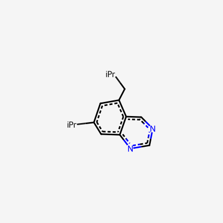 CC(C)Cc1cc(C(C)C)cc2ncncc12